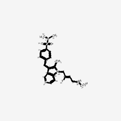 Cc1c(Cc2ccc(S(=O)(=O)N(C)C)cc2)c2cnccc2n1CC(F)=CCNC(=O)O